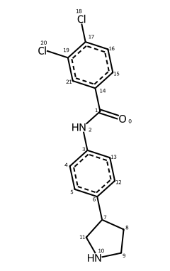 O=C(Nc1ccc(C2CCNC2)cc1)c1ccc(Cl)c(Cl)c1